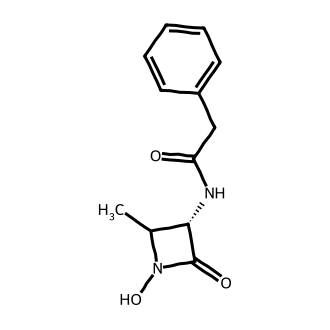 CC1[C@H](NC(=O)Cc2ccccc2)C(=O)N1O